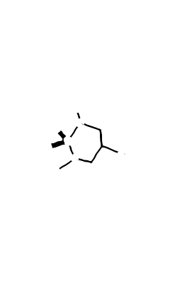 CN1CC(O)CN(C)S1(=O)=O